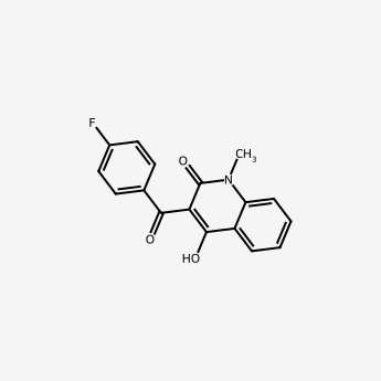 Cn1c(=O)c(C(=O)c2ccc(F)cc2)c(O)c2ccccc21